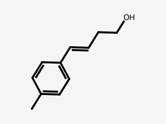 Cc1ccc(C=CCCO)cc1